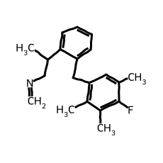 C=NCC(C)c1ccccc1Cc1cc(C)c(F)c(C)c1C